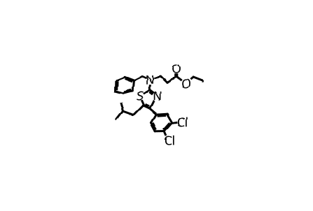 CCOC(=O)CCN(Cc1ccccc1)c1nc(-c2ccc(Cl)c(Cl)c2)c(CC(C)C)s1